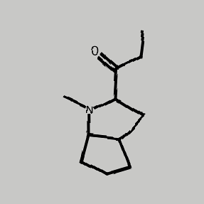 CCC(=O)C1CC2CCCC2N1C